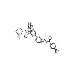 Nc1ncc(-c2cccc(CNC(=O)c3ccc(Br)cc3)c2)nc1C(=O)N[C@H]1CCCNC1